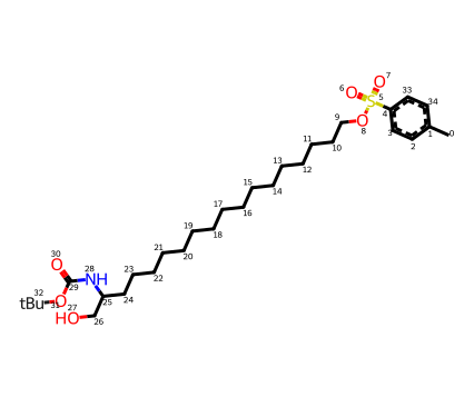 Cc1ccc(S(=O)(=O)OCCCCCCCCCCCCCCCCC(CO)NC(=O)OC(C)(C)C)cc1